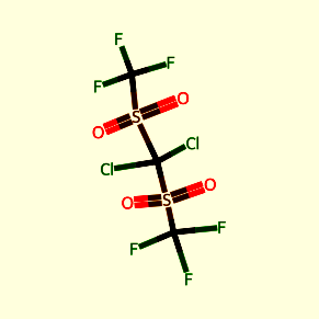 O=S(=O)(C(F)(F)F)C(Cl)(Cl)S(=O)(=O)C(F)(F)F